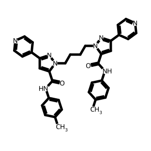 Cc1ccc(NC(=O)c2cc(-c3ccncc3)nn2CCCCn2nc(-c3ccncc3)cc2C(=O)Nc2ccc(C)cc2)cc1